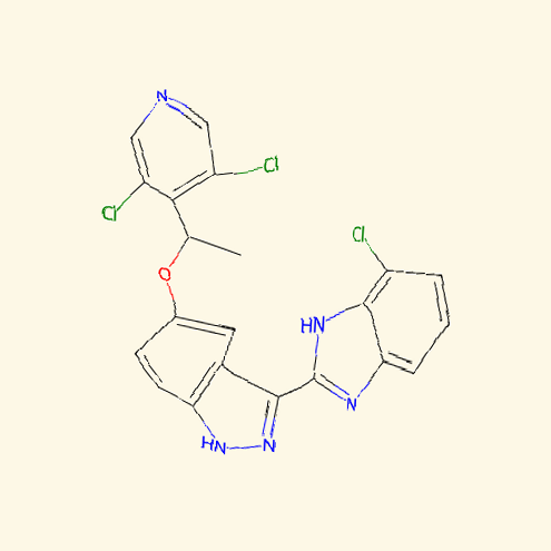 CC(Oc1ccc2[nH]nc(-c3nc4cccc(Cl)c4[nH]3)c2c1)c1c(Cl)cncc1Cl